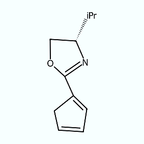 CC(C)[C@H]1COC(C2=CC=CC2)=N1